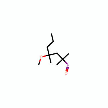 CCCC(C)(CC(C)(C)P=O)OC